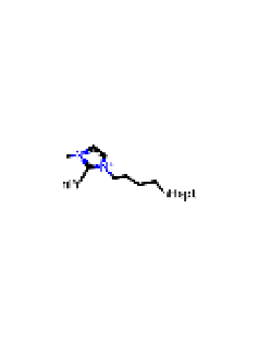 CCCCCCCCCCC[n+]1ccn(C)c1CCC